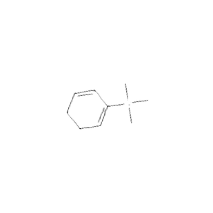 C[Si](C)(C)C1=CC[CH]C=C1